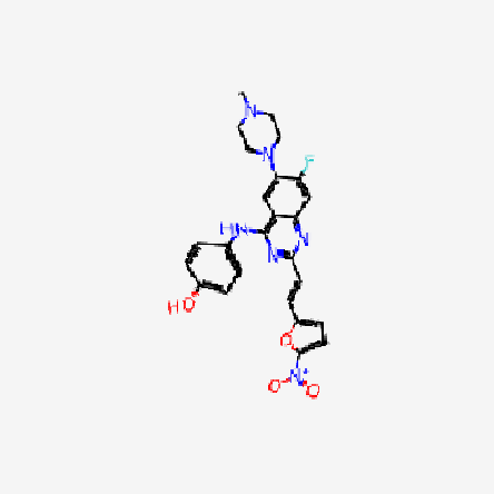 CN1CCN(c2cc3c(Nc4ccc(O)cc4)nc(C=Cc4ccc([N+](=O)[O-])o4)nc3cc2F)CC1